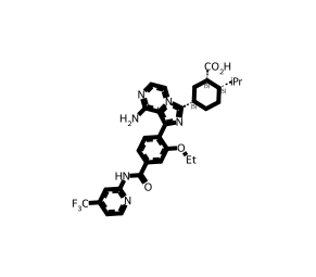 CCOc1cc(C(=O)Nc2cc(C(F)(F)F)ccn2)ccc1-c1nc([C@H]2CC[C@@H](C(C)C)[C@@H](C(=O)O)C2)n2ccnc(N)c12